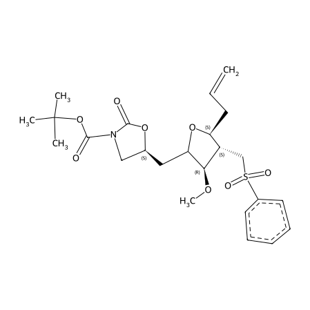 C=CC[C@@H]1OC(C[C@H]2CN(C(=O)OC(C)(C)C)C(=O)O2)[C@H](OC)[C@H]1CS(=O)(=O)c1ccccc1